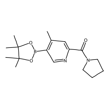 Cc1cc(C(=O)N2CCCC2)ncc1B1OC(C)(C)C(C)(C)O1